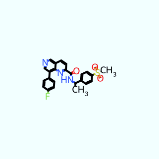 CC(NC(=O)c1ccc2cncc(-c3ccc(F)cc3)c2n1)c1ccc(S(C)(=O)=O)cc1